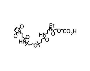 CCN(CCNC(=O)CCC(C)(C)OCCC(C)(C)NC(=O)CCN1C(=O)C=CC1=O)C(=O)COCC(=O)O